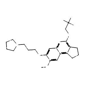 COc1cc2c3c(c(NCC(C)(C)O)nc2cc1OCCCN1CCCC1)CCC3